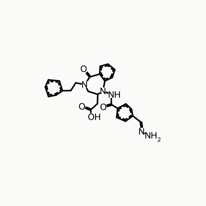 NN=Cc1ccc(C(=O)NN2c3ccccc3C(=O)N(CCc3ccccc3)CC2CC(=O)O)cc1